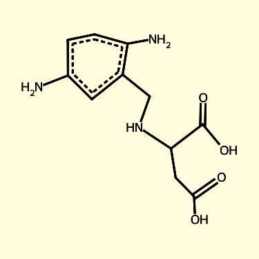 Nc1ccc(N)c(CNC(CC(=O)O)C(=O)O)c1